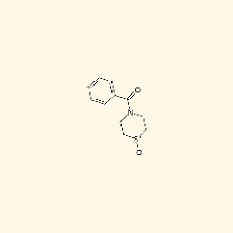 O=C(c1cc[c]cc1)N1CC[S+]([O-])CC1